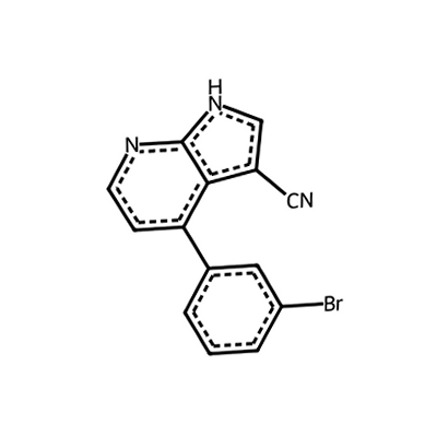 N#Cc1c[nH]c2nccc(-c3cccc(Br)c3)c12